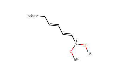 CCCCCCCCCCC=CC=C[SiH](OCCC)OCCC